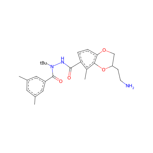 Cc1cc(C)cc(C(=O)N(NC(=O)c2ccc3c(c2C)OC(CCN)CO3)C(C)(C)C)c1